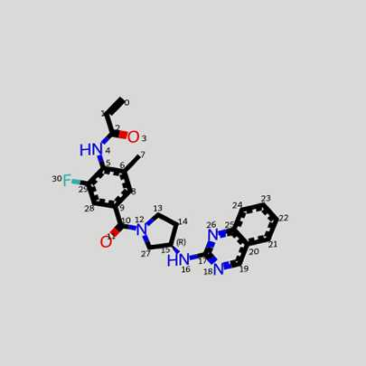 C=CC(=O)Nc1c(C)cc(C(=O)N2CC[C@@H](Nc3ncc4ccccc4n3)C2)cc1F